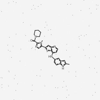 Cc1cc2cc(Nc3ccnc4cc(-c5cnc(C(=O)N6CCCCC6)n5C)sc34)ccc2[nH]1